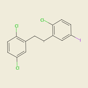 Clc1ccc(Cl)c(C[CH]c2cc(I)ccc2Cl)c1